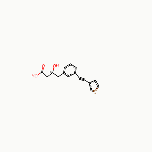 O=C(O)C[C@@H](O)Cc1cccc(C#Cc2ccsc2)c1